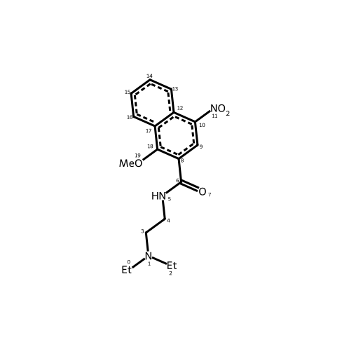 CCN(CC)CCNC(=O)c1cc([N+](=O)[O-])c2ccccc2c1OC